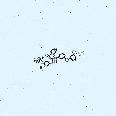 O=C(O)c1cccc(Oc2cccc(-c3nn(Cc4ccc(CP(=O)(OF)OF)c(Br)c4)c(=NC(=O)c4ccncc4)s3)c2)c1